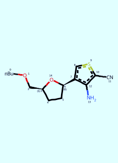 CCCCOC[C@@H]1CC[C@H](c2csc(C#N)c2N)O1